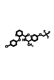 C[C@@H](NC(=O)c1cccnc1Oc1ccc(Cl)cc1)c1ccc(OCC(F)(F)F)cn1